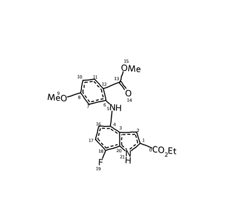 CCOC(=O)c1cc2c(Nc3cc(OC)ccc3C(=O)OC)ccc(F)c2[nH]1